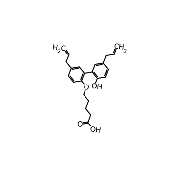 C=CCc1ccc(O)c(-c2cc(CC=C)ccc2OCCCCC(=O)O)c1